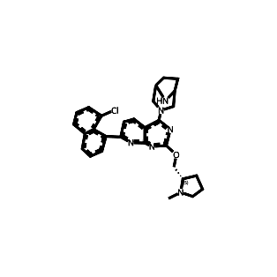 CN1CCC[C@H]1COc1nc(N2CC3CCC(C2)N3)c2ccc(-c3cccc4cccc(Cl)c34)nc2n1